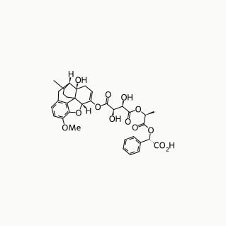 COc1ccc2c3c1O[C@H]1C(OC(=O)[C@H](O)[C@@H](O)C(=O)O[C@@H](C)C(=O)O[C@H](C(=O)O)c4ccccc4)=CC[C@@]4(O)[C@@H](C2)C(C)CCC314